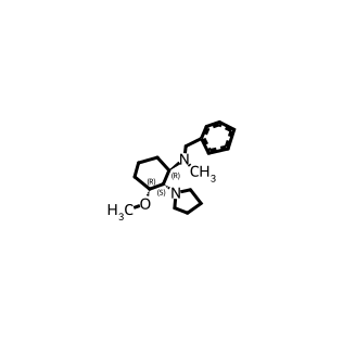 CO[C@@H]1CCC[C@@H](N(C)Cc2ccccc2)[C@@H]1N1CCCC1